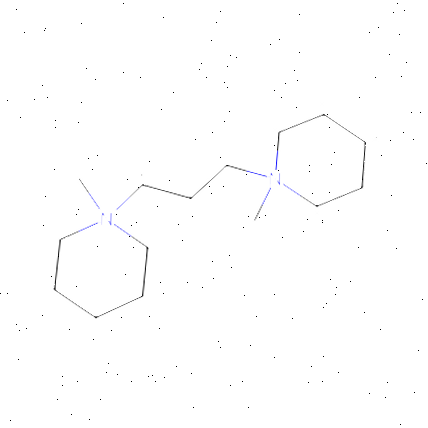 C[N+]1(CCC[N+]2(C)CCCCC2)CCCCC1